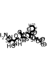 CSC1S[C@@H]2C(NC(=O)C(=NO)c3csc(N)n3)C(=O)N2CC1(C(=O)OCOC(=O)C(C)(C)C)C1CCCCO1